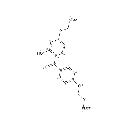 CCCCCCCCCCCCOc1ccc(C(=O)c2ccc(CCCCCCCCCCCC)cc2O)cc1